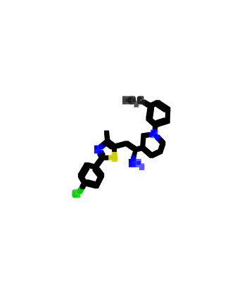 Cc1nc(-c2ccc(Cl)cc2)sc1C[C@H](N)C1CCCN(c2cccc(C(=O)O)c2)C1